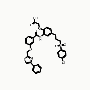 O=C(O)COc1ccc(CCCS(=O)(=O)c2ccc(Cl)cc2)cc1NC(=O)c1cccc(OCc2nc(-c3ccccc3)cs2)c1